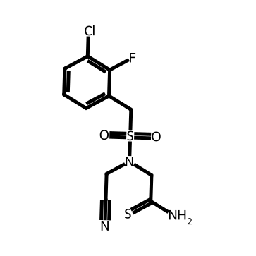 N#CCN(CC(N)=S)S(=O)(=O)Cc1cccc(Cl)c1F